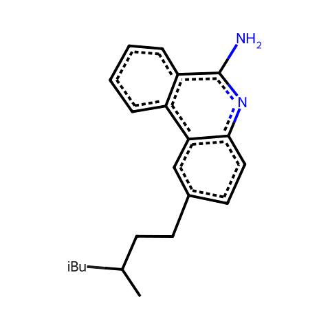 CCC(C)C(C)CCc1ccc2nc(N)c3ccccc3c2c1